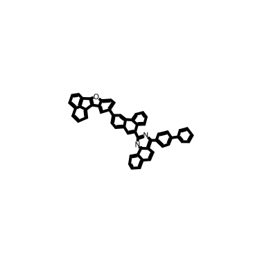 c1ccc(-c2ccc(-c3nc(-c4cc5ccc(-c6ccc7oc8c(c7c6)-c6cccc7cccc-8c67)cc5c5ccccc45)nc4c3ccc3ccccc34)cc2)cc1